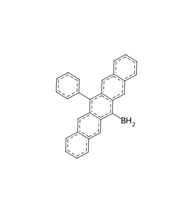 Bc1c2cc3ccccc3cc2c(-c2ccccc2)c2cc3ccccc3cc12